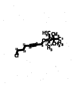 CC(C)(C)[Si](C)(C)OCC#CCCCCl